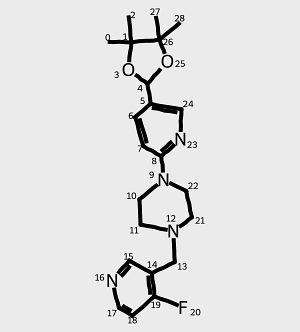 CC1(C)OC(c2ccc(N3CCN(Cc4cnccc4F)CC3)nc2)OC1(C)C